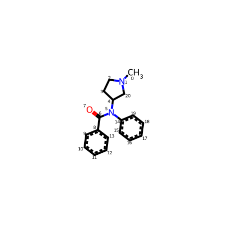 CN1CCC(N(C(=O)c2ccccc2)c2ccccc2)C1